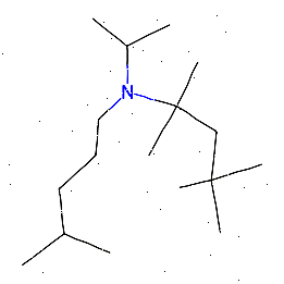 CC(C)CCCN(C(C)C)C(C)(C)CC(C)(C)C